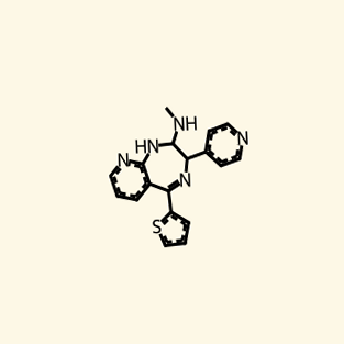 CNC1Nc2ncccc2C(c2cccs2)=NC1c1ccncc1